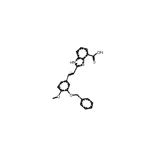 COc1ccc(/C=C/c2nc3c(C(=O)O)cccc3[nH]2)cc1OCc1ccccc1